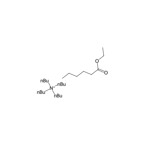 CCCCCC(=O)OCC.CCCC[N+](CCCC)(CCCC)CCCC